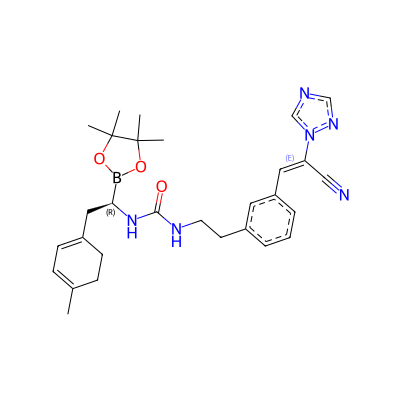 CC1=CC=C(C[C@H](NC(=O)NCCc2cccc(/C=C(\C#N)n3cncn3)c2)B2OC(C)(C)C(C)(C)O2)CC1